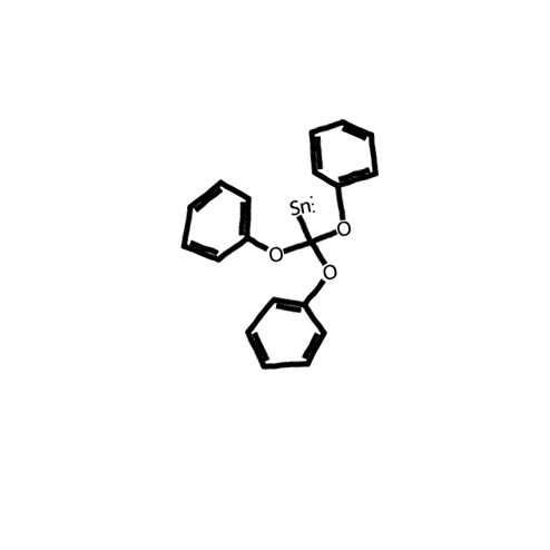 [Sn][C](Oc1ccccc1)(Oc1ccccc1)Oc1ccccc1